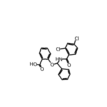 O=C(NC(Oc1ccccc1C(=O)O)c1ccccc1)c1ccc(Cl)cc1Cl